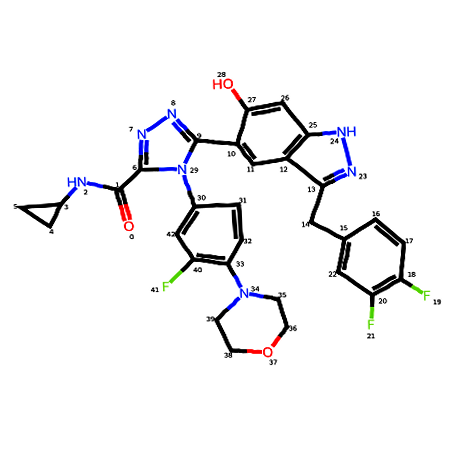 O=C(NC1CC1)c1nnc(-c2cc3c(Cc4ccc(F)c(F)c4)n[nH]c3cc2O)n1-c1ccc(N2CCOCC2)c(F)c1